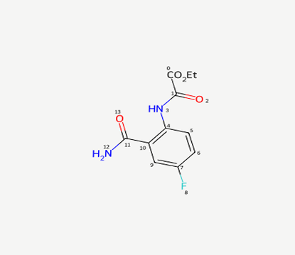 CCOC(=O)C(=O)Nc1ccc(F)cc1C(N)=O